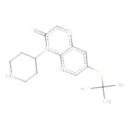 CC(C)(C)Sc1cnc2c(c1)ncc(=O)n2C1CCNCC1